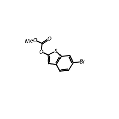 COC(=O)Oc1cc2ccc(Br)cc2s1